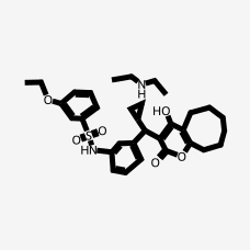 CCNCC.CCOc1cccc(S(=O)(=O)Nc2cccc(C(c3c(O)c4c(oc3=O)CCCCCC4)C3CC3)c2)c1